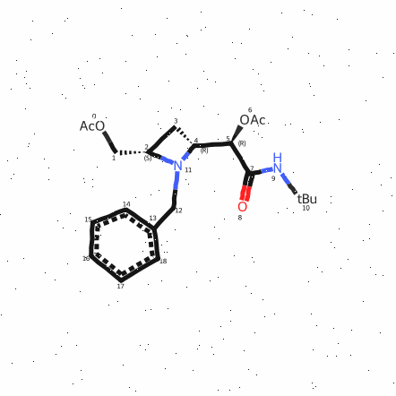 CC(=O)OC[C@@H]1C[C@H]([C@@H](OC(C)=O)C(=O)NC(C)(C)C)N1Cc1ccccc1